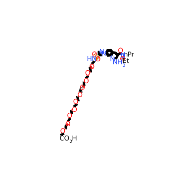 CCCN(OCC)C(=O)C1=Cc2ccc(-n3cc(S(=O)(=O)NCCOCCOCCOCCOCCOCCOCCOCCOCCOCCOCCC(=O)O)cn3)cc2N=C(N)C1